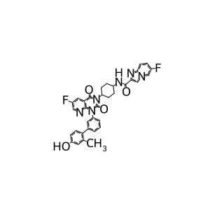 Cc1cc(O)ccc1-c1cccc(-n2c(=O)n(C3CCC(NC(=O)c4cn5cc(F)ccc5n4)CC3)c(=O)c3cc(F)cnc32)c1